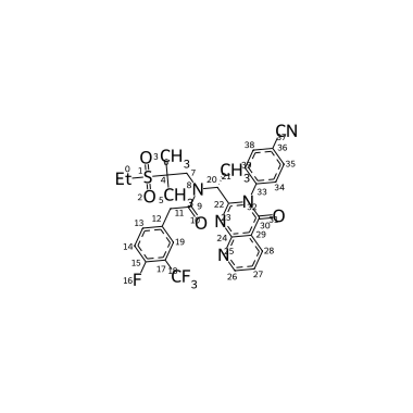 CCS(=O)(=O)C(C)(C)CN(C(=O)Cc1ccc(F)c(C(F)(F)F)c1)[C@H](C)c1nc2ncccc2c(=O)n1-c1ccc(C#N)cc1